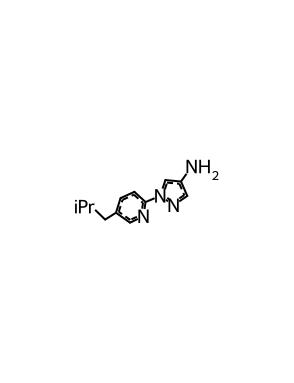 CC(C)Cc1ccc(-n2cc(N)cn2)nc1